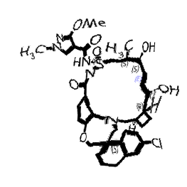 COc1nn(C)cc1C(=O)N[S@@]1(=O)=NC(=O)c2ccc3c(c2)N(C[C@@H]2CC[C@H]2[C@@H](O)/C=C/[C@H](O)[C@H](C)C1)C[C@@]1(CCCc2cc(Cl)ccc21)CO3